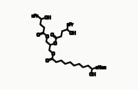 CCCCCCCCCC(O)CCCCCCCCC(=O)OCC(COC(=O)CCC(O)CCC)OC(=O)CCC(O)CCC